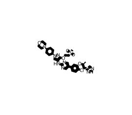 C[C@@H](Cn1cnnn1)Oc1cc(-c2cnc(Nc3cn([C@H]4CC[C@H](N5CCOCC5)CC4)nc3OCCS(C)(=O)=O)nc2)ccc1Cl